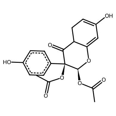 CC(=O)O[C@@H]1OC2=CC(O)=CCC2C(=O)[C@@]1(OC(C)=O)c1ccc(O)cc1